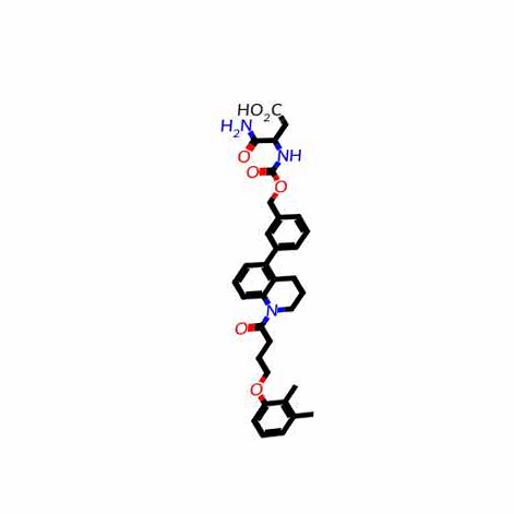 Cc1cccc(OCCCC(=O)N2CCCc3c(-c4cccc(COC(=O)NC(CC(=O)O)C(N)=O)c4)cccc32)c1C